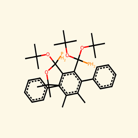 Cc1c(C)c(-c2ccccc2)c(C(P)(OC(C)(C)C)OC(C)(C)C)c(C(P)(OC(C)(C)C)OC(C)(C)C)c1-c1ccccc1